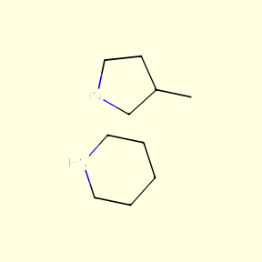 C1CCNCC1.CC1CCNC1